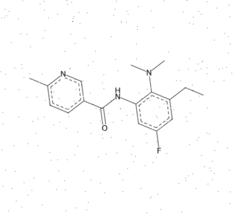 CCc1cc(F)cc(NC(=O)c2ccc(C)nc2)c1N(C)C